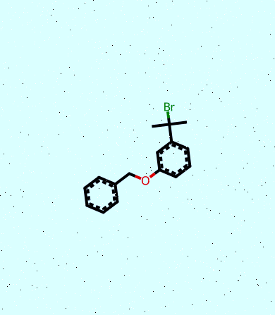 CC(C)(Br)c1cccc(OCc2ccccc2)c1